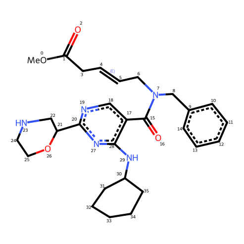 COC(=O)C/C=C/CN(Cc1ccccc1)C(=O)c1cnc(C2CNCCO2)nc1NC1CCCCC1